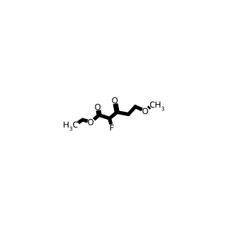 CCOC(=O)C(F)C(=O)CCOC